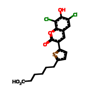 O=C(O)CCCCCc1ccc(-c2cc3cc(Cl)c(O)c(Cl)c3oc2=O)s1